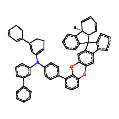 C1=CCCC(C2=CC(N(c3ccc(-c4cccc5c4Oc4cc6c(cc4O5)-c4ccccc4C64c5ccccc5[C@H]5C=CC=CC54)cc3)c3cccc(-c4ccccc4)c3)=CCC2)=C1